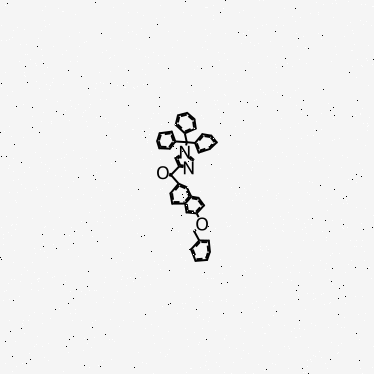 O=C(c1ccc2cc(OCc3ccccc3)ccc2c1)c1cn(C(c2ccccc2)(c2ccccc2)c2ccccc2)cn1